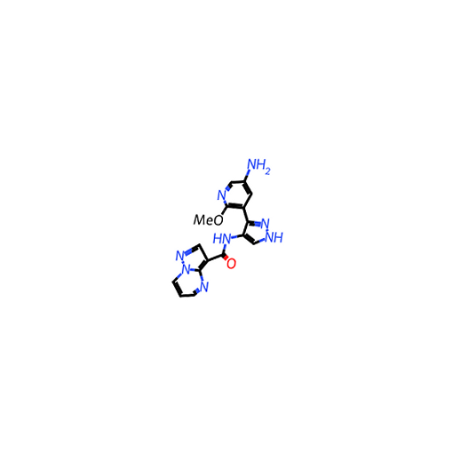 COc1ncc(N)cc1-c1n[nH]cc1NC(=O)c1cnn2cccnc12